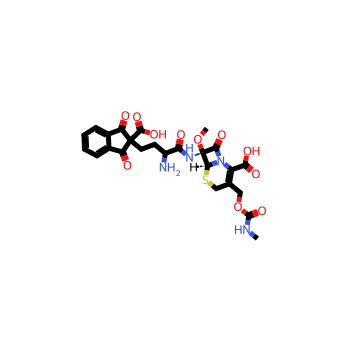 CNC(=O)OCC1=C(C(=O)O)N2C(=O)[C@](NC(=O)C(N)CCC3(C(=O)O)C(=O)c4ccccc4C3=O)(OC)[C@@H]2SC1